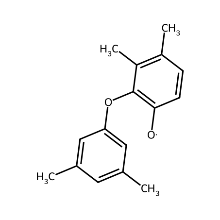 Cc1cc(C)cc(Oc2c([O])ccc(C)c2C)c1